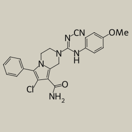 COc1ccc(N/C(=N\C#N)N2CCn3c(c(C(N)=O)c(Cl)c3-c3ccccc3)C2)cc1